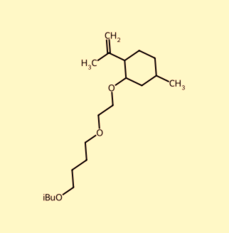 C=C(C)C1CCC(C)CC1OCCOCCCCOCC(C)C